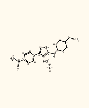 Cl.NCC1CCC(Nc2nc(-c3ccc(C(N)=O)cc3)cs2)CC1.[H+].[H+]